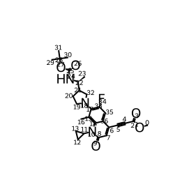 COC(=O)C#Cc1cc(=O)n(C2CC2)c2c(C)c(N3CCC([C@H](C)NC(=O)OC(C)(C)C)C3)c(F)cc12